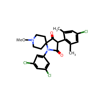 CON1CCC2(CC1)C(=O)C(c1c(C)cc(Cl)cc1C)C(=O)N2c1cc(Cl)cc(Cl)c1